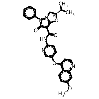 COc1ccc2c(Oc3ccc(NC(=O)c4c5n(n(-c6ccccc6)c4=O)C[C@@H](C(C)C)O5)nc3)ccnc2c1